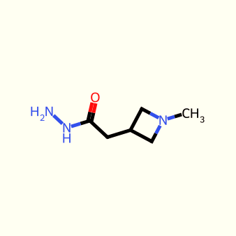 CN1CC(CC(=O)NN)C1